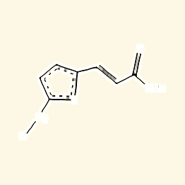 COC(=O)C=Cc1cc[c]([Hg][Cl])s1